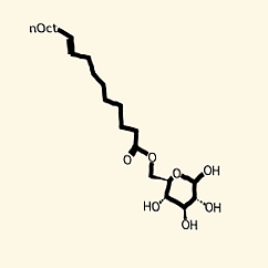 CCCCCCCC/C=C/CCCCCCCC(=O)OC[C@H]1OC(O)[C@H](O)[C@@H](O)[C@@H]1O